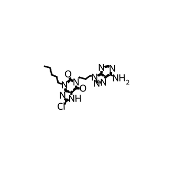 CCCCCn1c(=O)n(CCCn2nnc3c(N)ncnc32)c(=O)c2[nH]c(Cl)nc21